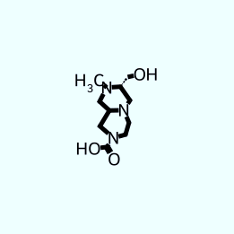 CN1CC2CN(C(=O)O)CCN2C[C@H]1CO